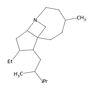 CCC1CC2N3CCC(C)CCC2(C3)C1CC(C)C(C)C